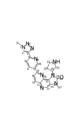 Cn1cc(-c2ccc(-c3ccc4ncc5c(c4n3)n(C3CCNC3)c(=O)n5C)cn2)nn1